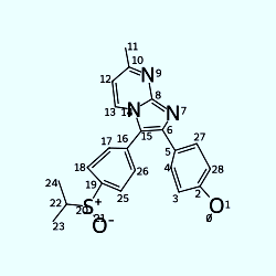 COc1ccc(-c2nc3nc(C)ccn3c2-c2ccc([S+]([O-])C(C)C)cc2)cc1